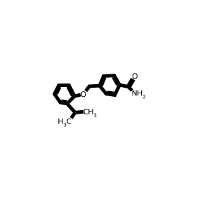 CC(C)c1ccccc1OCc1ccc(C(N)=O)cc1